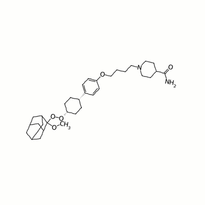 COC1(OO[C@H]2CC[C@@H](c3ccc(OCCCCN4CCC(C(N)=O)CC4)cc3)CC2)C2CC3CC(C2)CC1C3